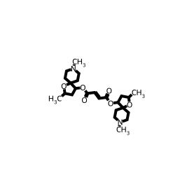 CC1CC(OC(=O)/C=C/C(=O)OC2CC(C)OC23CCN(C)CC3)C2(CCN(C)CC2)O1